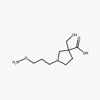 NOCCCN1CCC(CO)(C(=O)O)C1